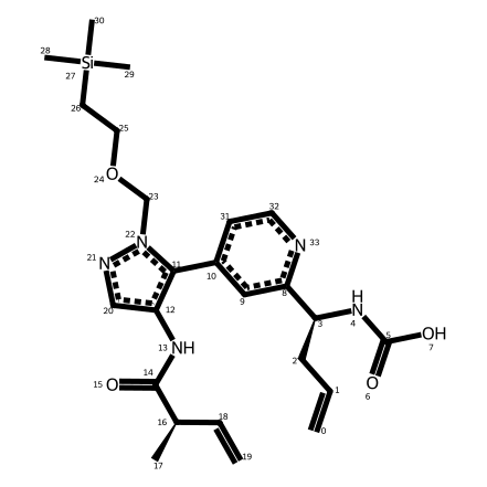 C=CC[C@H](NC(=O)O)c1cc(-c2c(NC(=O)[C@H](C)C=C)cnn2COCC[Si](C)(C)C)ccn1